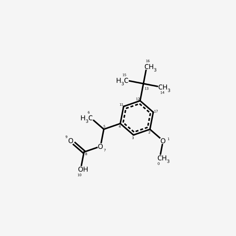 COc1cc(C(C)OC(=O)O)cc(C(C)(C)C)c1